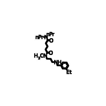 CCCN(CCC)C(=O)CCCC(=O)N(C)CCCNCc1cccc(CC)c1